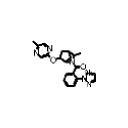 Cc1cnc(OC2CC3CC2N(C(=O)c2ccccc2-n2nccn2)C3C)cn1